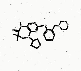 CN1C(=O)C(C)(C)CN(C2CCCC2)c2nc(Nc3ccccc3CN3CCOCC3)ncc21